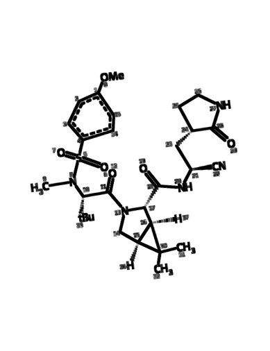 COc1ccc(S(=O)(=O)N(C)[C@H](C(=O)N2C[C@H]3[C@@H]([C@H]2C(=O)N[C@H](C#N)C[C@@H]2CCNC2=O)C3(C)C)C(C)(C)C)cc1